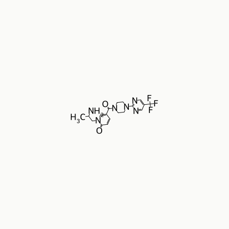 CC(N)Cn1cc(C(=O)N2CCN(c3ncc(C(F)(F)F)cn3)CC2)ccc1=O